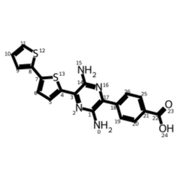 Nc1nc(-c2ccc(-c3cccs3)s2)c(N)nc1-c1ccc(C(=O)O)cc1